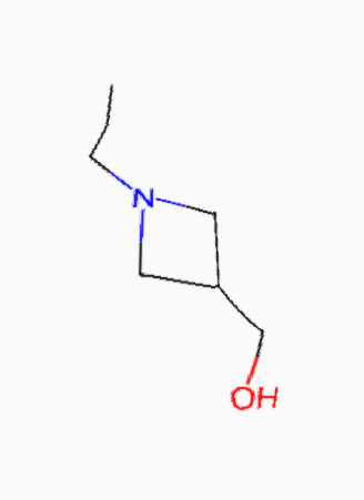 CCN1CC(CO)C1